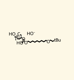 CC(C)(C)CCOCCCCCCCCCOP(O)O[C@H](CC(=O)O)C[N+](C)(C)C.[OH-]